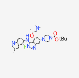 Cc1cnc2ccc(Nc3ncnc4cc(N5CCN(C(=O)OC(C)(C)C)CC5)cc(O[C@H](C)CN(C)C)c34)c(F)c2c1